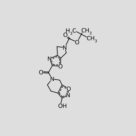 CC(C)(C)OC(=O)N1Cc2nc(C(=O)N3CCc4c(O)noc4C3)oc2C1